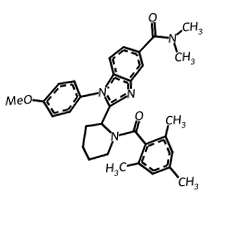 COc1ccc(-n2c(C3CCCCN3C(=O)c3c(C)cc(C)cc3C)nc3cc(C(=O)N(C)C)ccc32)cc1